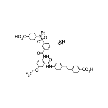 CCN(C1CCC(C(=O)O)CC1)S(=O)(=O)c1cccc(C(=O)Nc2ccc(OCC(F)(F)F)cc2C(=O)Nc2ccc(CCc3ccc(C(=O)O)cc3)cc2)c1.[KH].[KH]